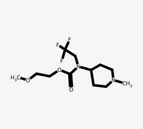 COCCOC(=O)N(CC(F)(F)F)C1CCN(C)CC1